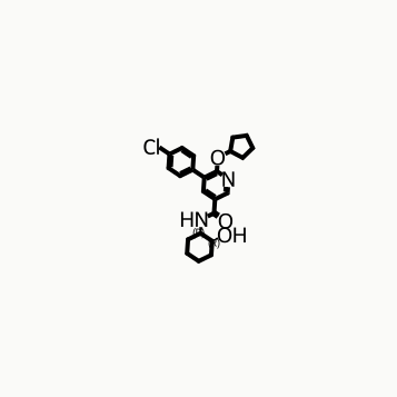 O=C(N[C@@H]1CCCC[C@H]1O)c1cnc(OC2CCCC2)c(-c2ccc(Cl)cc2)c1